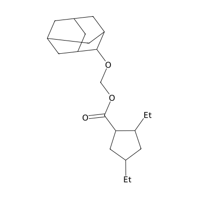 CCC1CC(CC)C(C(=O)OCOC2C3CC4CC(C3)CC2C4)C1